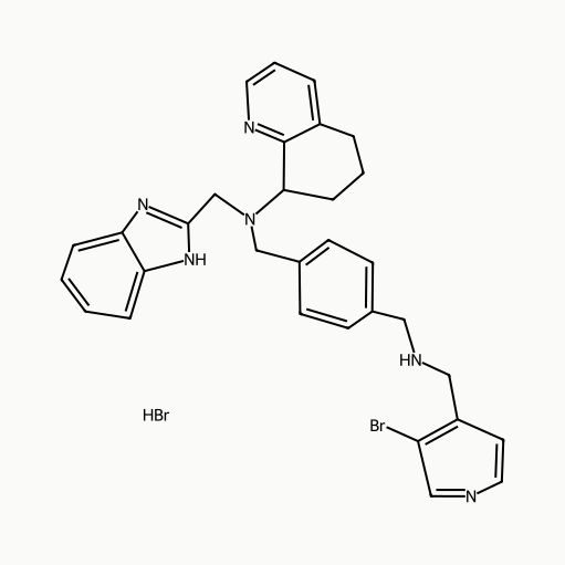 Br.Brc1cnccc1CNCc1ccc(CN(Cc2nc3ccccc3[nH]2)C2CCCc3cccnc32)cc1